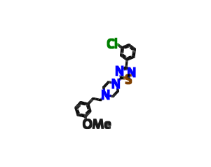 COc1cccc(CCN2CCN(c3nc(-c4cccc(Cl)c4)ns3)CC2)c1